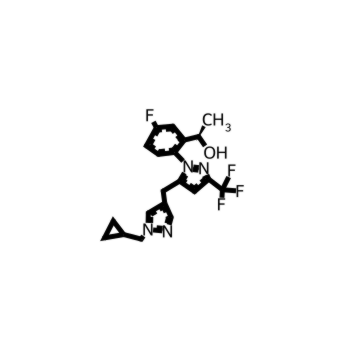 C[C@@H](O)c1cc(F)ccc1-n1nc(C(F)(F)F)cc1Cc1cnn(CC2CC2)c1